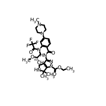 CCOC(=O)n1nc(NC(=O)c2ccc(N3CCN(C)CC3)cc2N(C[C@H](C)OC)C(=O)C(F)(F)F)c2c1C(C)(C)NC2